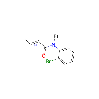 C/C=C/C(=O)N(CC)c1ccccc1Br